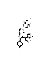 CN1C[C@@H]2CN(c3ccc4nc(-c5ccc(F)cc5)c(-c5ccnc6[nH]ccc56)n4n3)C[C@@H]2C1